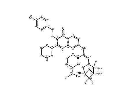 C[C@@H]1C(/N=C(/Nc2ccc3c(=O)n(CCc4ccc(Cl)cc4)c(C4CCCNC4)nc3c2)N2CCN[C@@H](C(F)F)C2)C[C@H]2C[C@@H]1C2(C)C